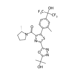 Cc1cc(C(O)(C(F)(F)F)C(F)(F)F)ccc1-c1sc(-c2nnc(C(C)(C)O)o2)nc1C(=O)N1CCC[C@@H]1C